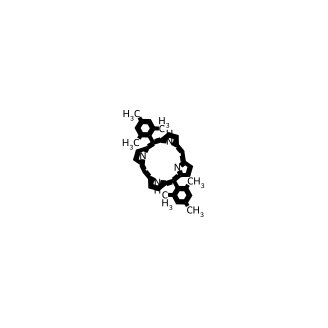 Cc1cc(C)c(-c2c3nc(cc4ccc([nH]4)c(-c4c(C)cc(C)cc4C)c4nc(cc5ccc2[nH]5)C=C4)C=C3)c(C)c1